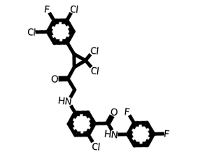 O=C(Nc1ccc(F)cc1F)c1cc(NCC(=O)C2C(c3cc(Cl)c(F)c(Cl)c3)C2(Cl)Cl)ccc1Cl